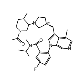 CC(=O)N1CCC(C)C(N2CC[C@@H](Cc3cn(-c4ccc(F)cc4C(=O)N(C)C(C)C)c4cncc(C)c34)C2)C1